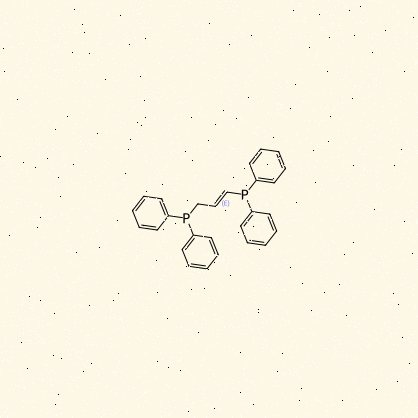 C(=C\P(c1ccccc1)c1ccccc1)/CP(c1ccccc1)c1ccccc1